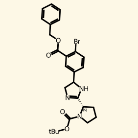 CC(C)(C)OC(=O)N1CCC[C@H]1C1=NCC(c2ccc(Br)c(C(=O)OCc3ccccc3)c2)N1